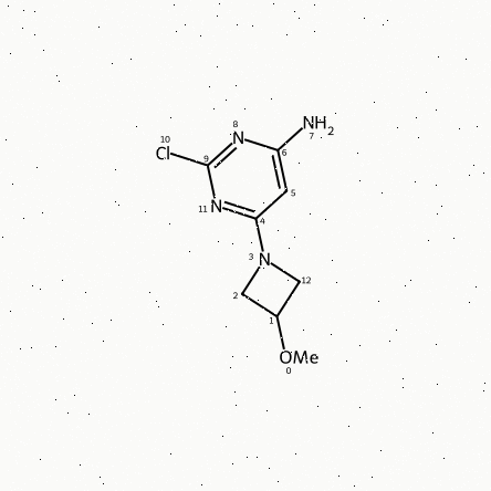 COC1CN(c2cc(N)nc(Cl)n2)C1